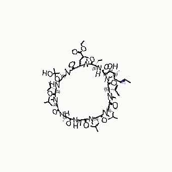 C/C=C/C[C@@H](C)[C@@H](O)[C@H]1C(=O)N[C@@H](CC)C(=O)N(C)C(CC(C)C(=O)OCC)C(=O)N(C)[C@@H](CC(C)(C)O)C(=O)N[C@@H](C(C)C)C(=O)N(C)[C@@H](CC(C)C)C(=O)N[C@@H](C)C(=O)N[C@H](C)C(=O)N(C)[C@@H](CC(C)C)C(=O)N(C)[C@@H](CC(C)C)C(=O)N(C)[C@@H](C(C)C)C(=O)N1C